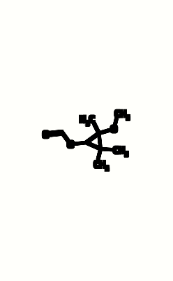 COC1(C)C(OC=O)C1(C)C